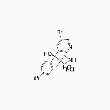 CC(C)c1ccc([C@](O)(c2cncc(Br)c2)C2(C)CNC2)cc1.Cl.Cl